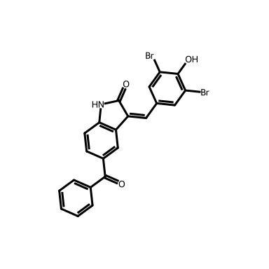 O=C1Nc2ccc(C(=O)c3ccccc3)cc2C1=Cc1cc(Br)c(O)c(Br)c1